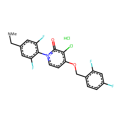 CNCc1cc(F)c(-n2ccc(OCc3ccc(F)cc3F)c(Cl)c2=O)c(F)c1.Cl